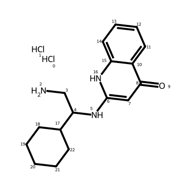 Cl.Cl.NCC(Nc1cc(=O)c2ccccc2[nH]1)C1CCCCC1